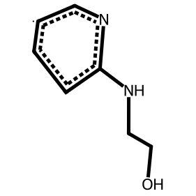 OCCNc1cc[c]cn1